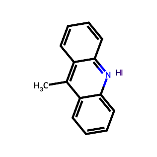 Cc1c2ccccc2nc2ccccc12.I